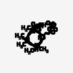 C=Cc1c(C)c2cc3nc(c(CC(=O)O)c4[nH]c(cc5nc(cc1[nH]2)C(C)=C5CC)c(C)c4C(=O)O)[C@@H](CCC(=O)ON1C(=O)CCC1=O)C3